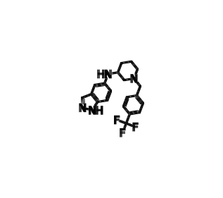 FC(F)(F)c1ccc(CN2CCCC(Nc3ccc4[nH]ncc4c3)C2)cc1